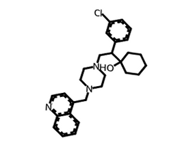 OC1(C(CN2CCN(Cc3ccnc4ccccc34)CC2)c2cccc(Cl)c2)CCCCC1